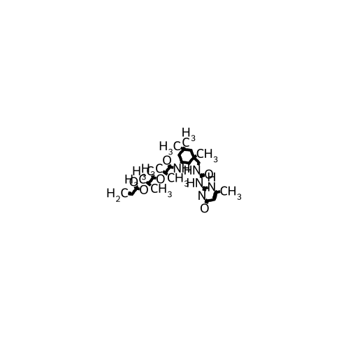 C=CC(=O)OC(C)(C)C(C)OC(C)(C)C(=O)NC1CC(C)(C)CC(C)(CNC(=O)Nc2nc(=O)cc(C)[nH]2)C1